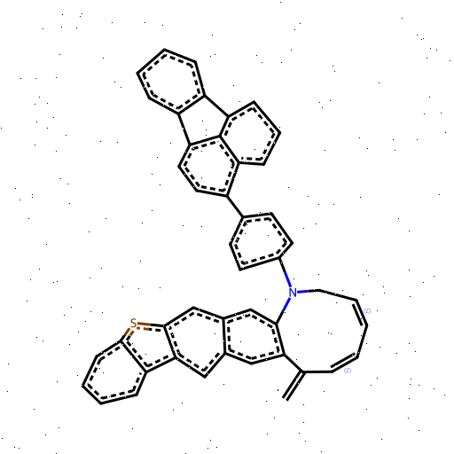 C=C1/C=C\C=C/CN(c2ccc(-c3ccc4c5c(cccc35)-c3ccccc3-4)cc2)c2cc3cc4sc5ccccc5c4cc3cc21